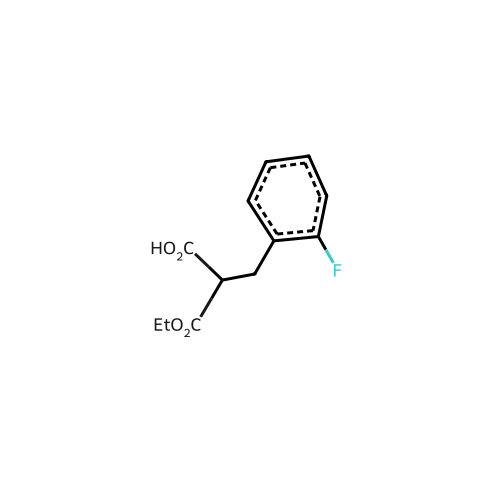 CCOC(=O)C(Cc1ccccc1F)C(=O)O